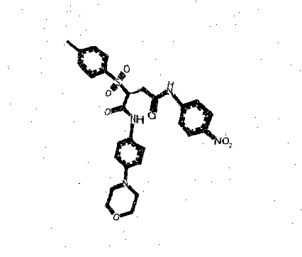 Cc1ccc(S(=O)(=O)[C@@H](CC(=O)Nc2ccc([N+](=O)[O-])cc2)C(=O)Nc2ccc(N3CCOCC3)cc2)cc1